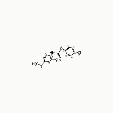 CCc1ccc(NC(=O)Oc2ccc(Cl)cc2)c(Cl)c1